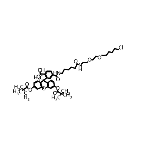 CC(=O)c1ccc(C(=O)NCCCCCC(=O)NCCOCCOCCCCCCCl)cc1C1(C)c2ccc(OC(=O)C(C)(C)C)cc2Oc2cc(OC(=O)C(C)(C)C)ccc21